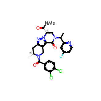 CNC(=O)[C@@H]1CN(C(C)c2cc(F)ccn2)C(=O)c2c3c(nn21)C[C@@H](C)N(C(=O)c1ccc(Cl)c(Cl)c1)C3